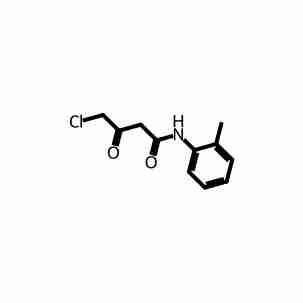 Cc1ccccc1NC(=O)CC(=O)CCl